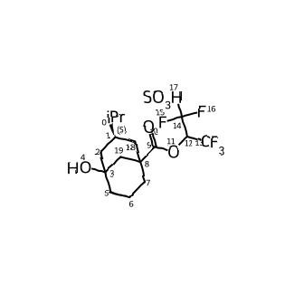 CC(C)[C@@H]1CC2(O)CCCC(C(=O)OC(C(F)(F)F)C(F)(F)S(=O)(=O)O)(C1)C2